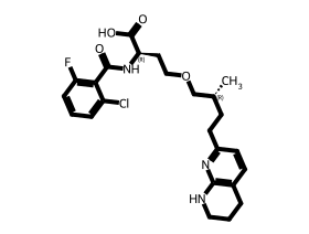 C[C@H](CCc1ccc2c(n1)NCCC2)COCC[C@@H](NC(=O)c1c(F)cccc1Cl)C(=O)O